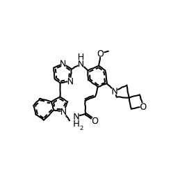 COc1cc(N2CC3(COC3)C2)c(C=CC(N)=O)cc1Nc1nccc(-c2cn(C)c3ccccc23)n1